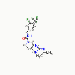 CC(C)Nc1ncc2c(n1)CN(C(=O)NCc1ccc(C(F)(F)F)c(F)c1)CC2